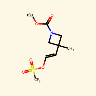 CC1(C=COS(=O)(=O)C(F)(F)F)CN(C(=O)OC(C)(C)C)C1